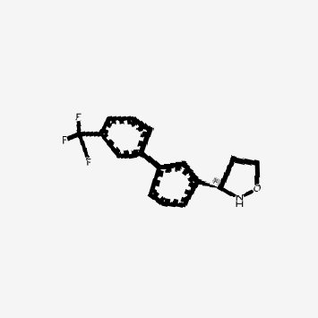 FC(F)(F)c1cccc(-c2cccc([C@H]3CCON3)c2)c1